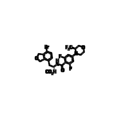 O=C(N[C@@H](Cc1ccc(Br)c2c1COC2)C(=O)O)c1c(F)cc(N2CCOC[C@@H]2C(F)(F)F)cc1F